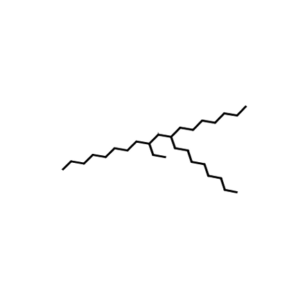 CCCCCCCCC([CH]C(CCCCCCC)CCCCCCCC)CC